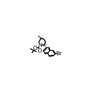 C[C@H]1CC[C@H](c2ccc3ccc(Br)cc3c2)N(C(=O)OC(C)(C)C)C1